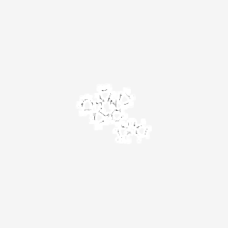 c1ccc2c(c1)oc1c(-c3cc4c5ccccc5n5c6ccccc6n6c7ccccc7c7cccc(c(c3)c45)c76)cccc12